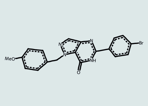 COc1ccc(Cn2ncc3nc(-c4ccc(Br)cc4)[nH]c(=O)c32)cc1